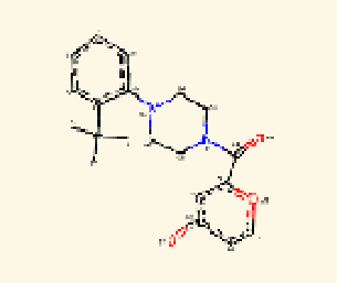 CC(C)(C)c1ccccc1N1CCN(C(=O)c2cc(=O)cco2)CC1